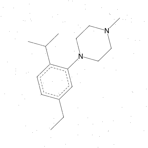 CCc1ccc(C(C)C)c(N2CCN(C)CC2)c1